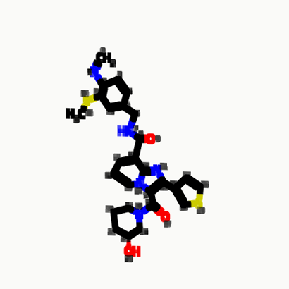 C=Nc1ccc(CNC(=O)c2cccn3c(C(=O)N4CCC[C@@H](O)C4)c(-c4ccsc4)nc23)cc1SC